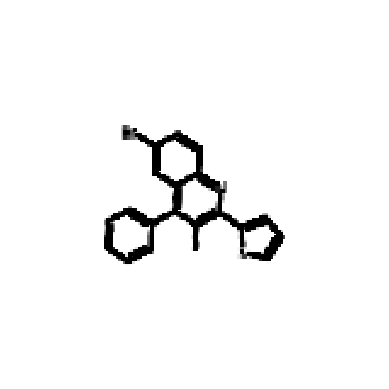 Cc1c(-c2cccs2)nc2ccc(Br)cc2c1-c1ccccc1